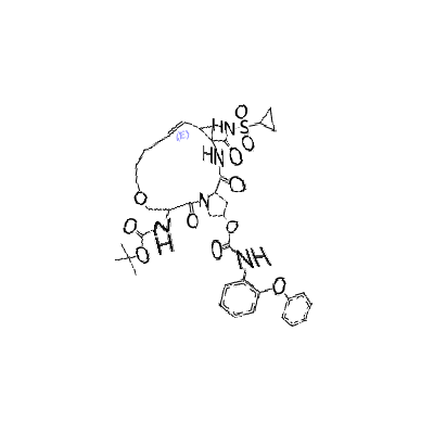 CC(C)(C)OC(=O)NC1COCCC/C=C/C2CC2(C(=O)NS(=O)(=O)C2CC2)NC(=O)C2CC(OC(=O)Nc3ccccc3Oc3ccccc3)CN2C1=O